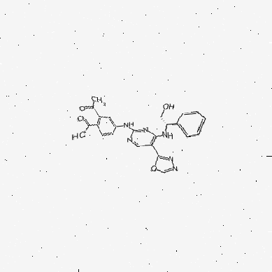 CC(=O)c1cc(Nc2ncc(-c3nnco3)c(N[C@H](CO)c3ccccc3)n2)ccc1C(=O)O